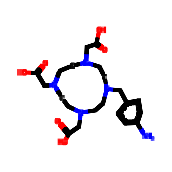 Nc1ccc(CN2CCN(CC(=O)O)CCN(CC(=O)O)CCN(CC(=O)O)CC2)cc1